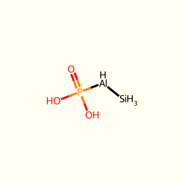 O=[P](O)(O)[AlH][SiH3]